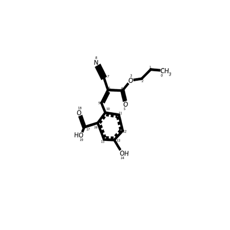 CCCOC(=O)C(C#N)=Cc1ccc(O)cc1C(=O)O